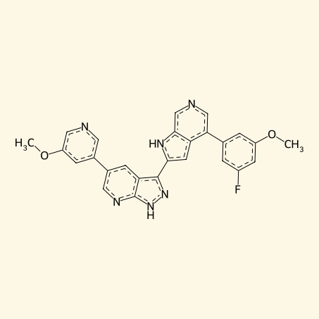 COc1cncc(-c2cnc3[nH]nc(-c4cc5c(-c6cc(F)cc(OC)c6)cncc5[nH]4)c3c2)c1